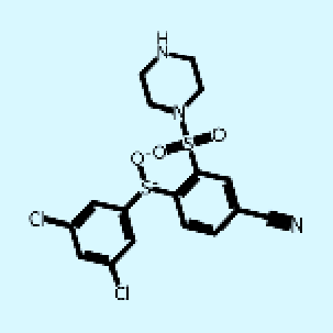 N#Cc1ccc([S+]([O-])c2cc(Cl)cc(Cl)c2)c(S(=O)(=O)N2CCNCC2)c1